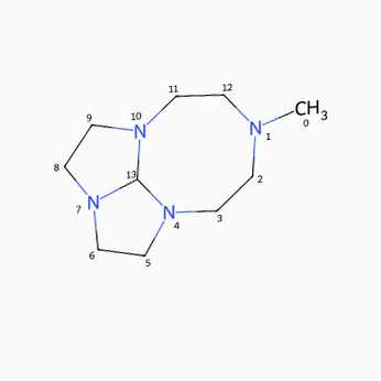 CN1CCN2CCN3CCN(CC1)C23